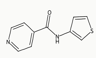 O=C(Nc1ccsc1)c1ccncc1